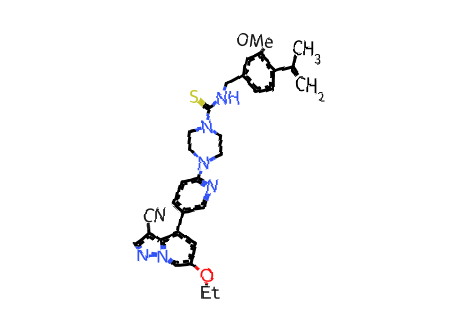 C=C(C)c1ccc(CNC(=S)N2CCN(c3ccc(-c4cc(OCC)cn5ncc(C#N)c45)cn3)CC2)cc1OC